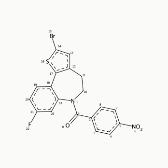 O=C(c1ccc([N+](=O)[O-])cc1)N1CCc2cc(Br)sc2-c2ccc(F)cc21